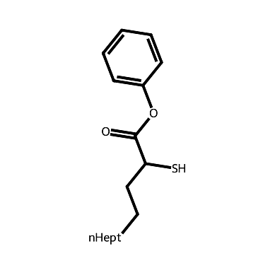 CCCCCCCCCC(S)C(=O)Oc1ccccc1